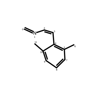 C=N/C=C\c1c(C)cccc1C